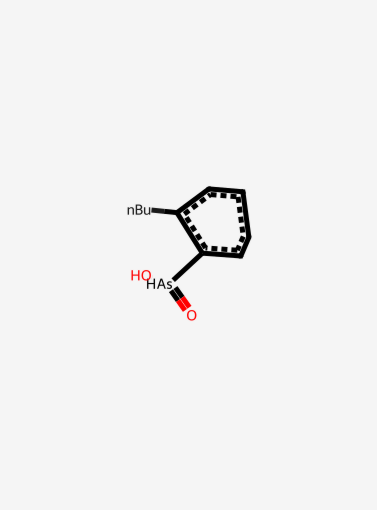 CCCCc1ccccc1[AsH](=O)O